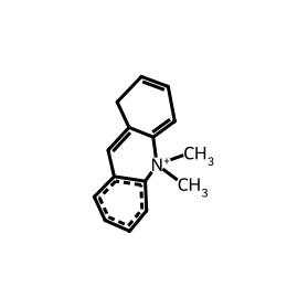 C[N+]1(C)C2=CC=CCC2=Cc2ccccc21